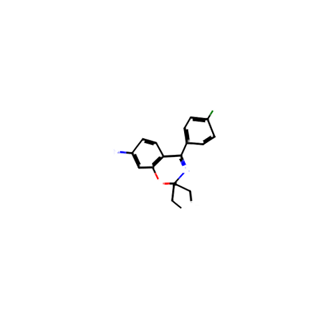 CCC1(CC)N=C(c2ccc(F)cc2)c2ccc(N)cc2O1